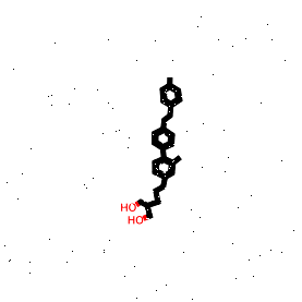 Cc1ccc(CCc2ccc(-c3ccc(CCCC(CO)CO)cc3C)cc2)cc1